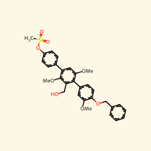 COc1cc(-c2c(OC)cc(-c3ccc(OS(C)(=O)=O)cc3)c(OC)c2CO)ccc1OCc1ccccc1